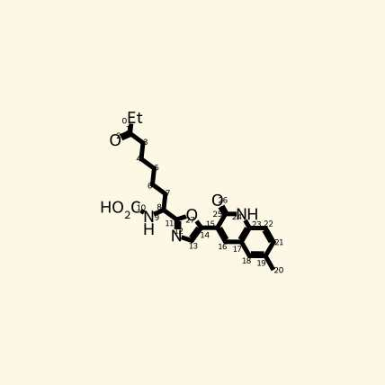 CCC(=O)CCCCCC(NC(=O)O)c1ncc(-c2cc3cc(C)ccc3[nH]c2=O)o1